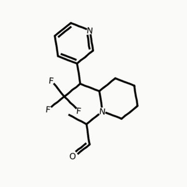 CC(C=O)N1CCCCC1C(c1cccnc1)C(F)(F)F